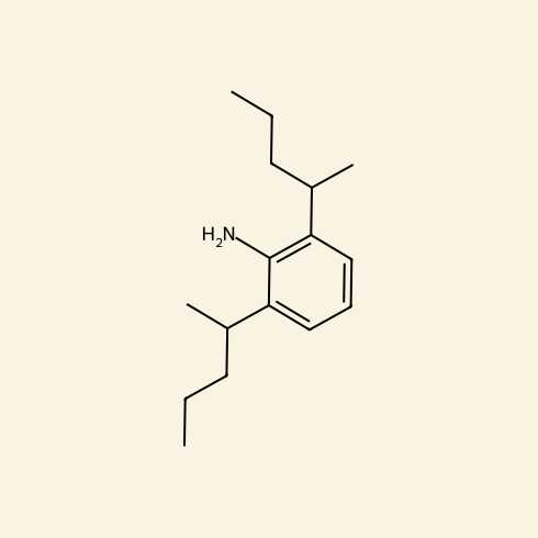 CCCC(C)c1cccc(C(C)CCC)c1N